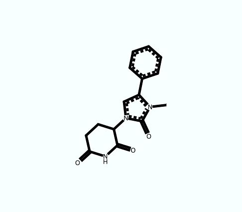 Cn1c(-c2ccccc2)cn(C2CCC(=O)NC2=O)c1=O